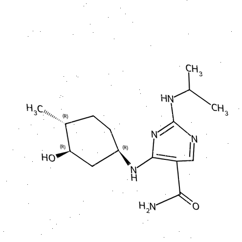 CC(C)Nc1ncc(C(N)=O)c(N[C@@H]2CC[C@@H](C)[C@H](O)C2)n1